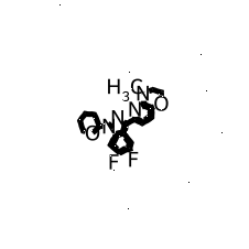 CN1CCOc2ccc(-c3nn(C4CCCCO4)c4cc(F)c(F)cc34)nc21